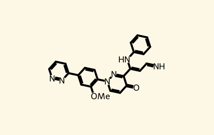 COc1cc(-c2cccnn2)ccc1-n1ccc(=O)c(/C(=C/C=N)Nc2ccccc2)n1